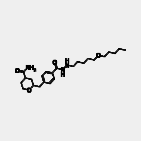 CCCCCOCCCCCNNC(=O)c1ccc(CC2CC(C(N)=O)CCO2)cc1